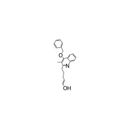 Cc1c(CCC/C=C/O)nc2ccccc2c1OCc1ccccc1